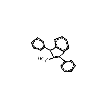 O=C(O)C1=C(c2ccccc2)c2ccccc2C1c1ccccc1